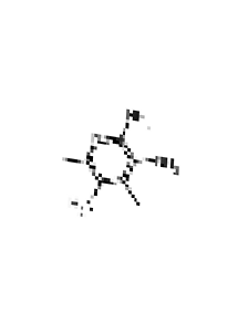 Cc1nc(N)c(N)c(C)c1N